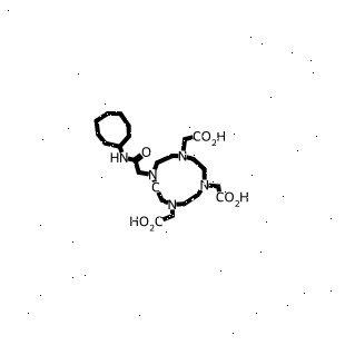 O=C(O)CN1CCN(CC(=O)O)CCN(CC(=O)NC2CCCCCCC2)CCN(CC(=O)O)CC1